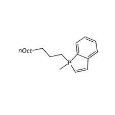 CCCCCCCCCCC[P]1(C)C=Cc2ccccc21